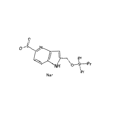 CC(C)[Si](OCc1cc2nc(S(=O)[O-])ccc2[nH]1)(C(C)C)C(C)C.[Na+]